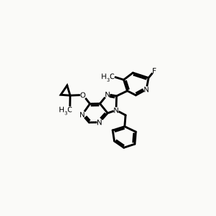 Cc1cc(F)ncc1-c1nc2c(OC3(C)CC3)ncnc2n1Cc1ccccc1